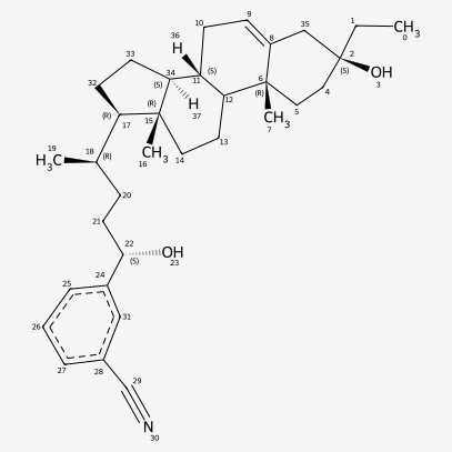 CC[C@]1(O)CC[C@@]2(C)C(=CC[C@@H]3C2CC[C@]2(C)[C@@H]([C@H](C)CC[C@H](O)c4cccc(C#N)c4)CC[C@@H]32)C1